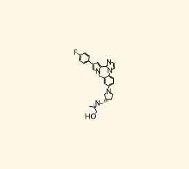 C/C(CO)=N/C[C@H]1CCN(c2ccc3c(c2)Cn2cc(-c4ccc(F)cc4)cc2-c2nccn2-3)C1